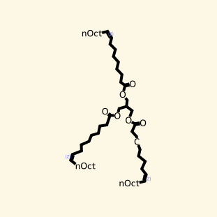 CCCCCCCC/C=C\CCCCCCCC(=O)OCC(COC(=O)CCCCCCC/C=C\CCCCCCCC)COC(=O)CCCCCCC/C=C\CCCCCCCC